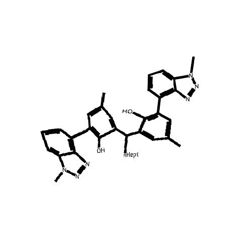 CCCCCCCC(c1cc(C)cc(-c2cccc3c2nnn3C)c1O)c1cc(C)cc(-c2cccc3c2nnn3C)c1O